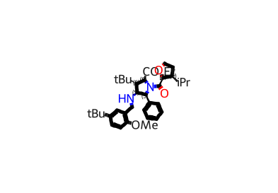 CCOC(=O)[C@@H]1[C@@H](C(C)(C)C)[C@H](NCc2cc(C(C)(C)C)ccc2OC)[C@H](c2ccccc2)N1C(=O)[C@H]1OCC[C@H]1C(C)C